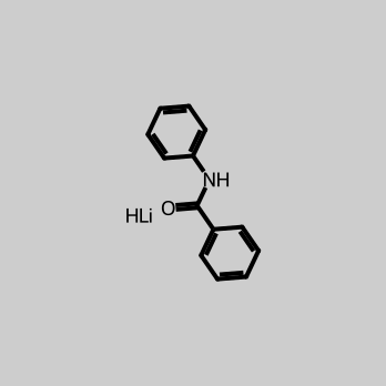 O=C(Nc1ccccc1)c1ccccc1.[LiH]